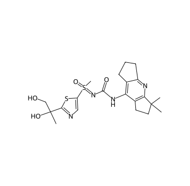 CC1(C)CCc2c1nc1c(c2NC(=O)N=S(C)(=O)c2cnc(C(C)(O)CO)s2)CCC1